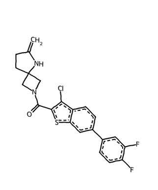 C=C1CCC2(CN(C(=O)c3sc4cc(-c5ccc(F)c(F)c5)ccc4c3Cl)C2)N1